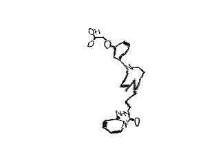 O=C(O)COc1cccc(N2CCN(CCCn3nc4ccccn4c3=O)CC2)c1